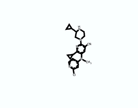 CN(c1ccnc(Cl)c1)c1cc(C#N)c(N2CCNC(C3CC3)C2)nc1C1CC1